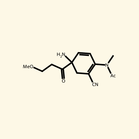 COCCC(=O)C1(N)C=CC(N(C)C(C)=O)=C(C#N)C1